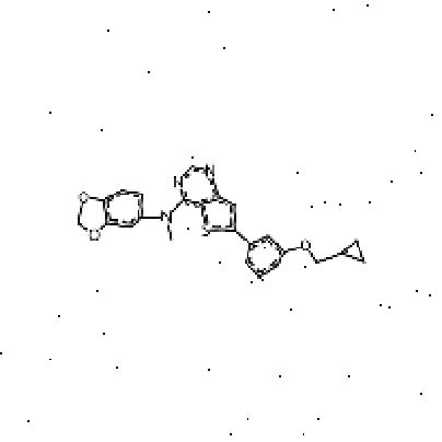 CN(c1ccc2c(c1)OCO2)c1ncnc2cc(-c3cccc(OCC4CC4)c3)sc12